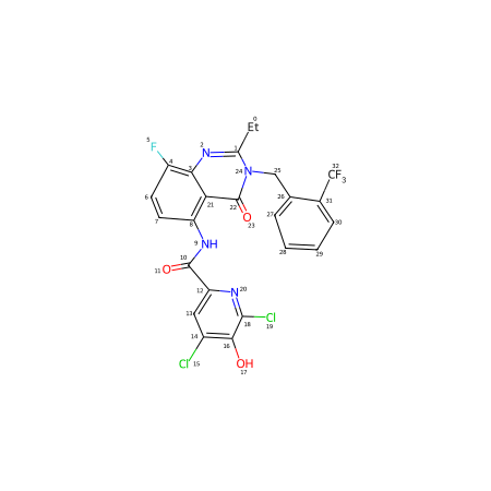 CCc1nc2c(F)ccc(NC(=O)c3cc(Cl)c(O)c(Cl)n3)c2c(=O)n1Cc1ccccc1C(F)(F)F